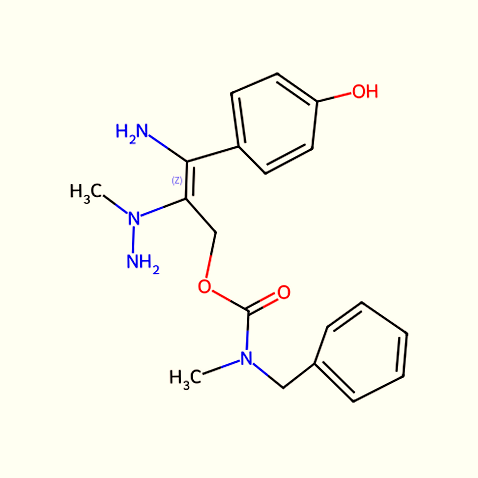 CN(Cc1ccccc1)C(=O)OC/C(=C(/N)c1ccc(O)cc1)N(C)N